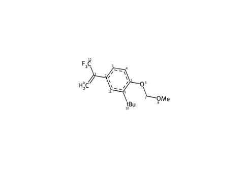 C=C(c1ccc(OCOC)c(C(C)(C)C)c1)C(F)(F)F